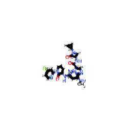 CNc1cc(Nc2cccn(-c3cc(F)ccn3)c2=O)nn2c(C(=O)N[C@@H]3CN(C4CC4)C3=O)cnc12